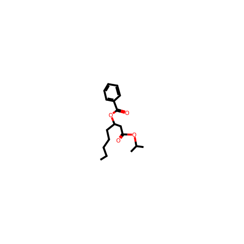 CCCCCC(CC(=O)OC(C)C)OC(=O)c1ccccc1